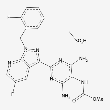 COC(=O)Nc1c(N)nc(-c2nn(Cc3ccccc3F)c3ncc(F)cc23)nc1N.CS(=O)(=O)O